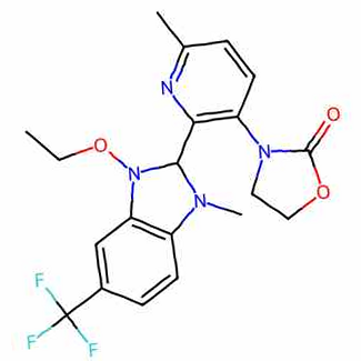 CCON1c2cc(C(F)(F)F)ccc2N(C)C1c1nc(C)ccc1N1CCOC1=O